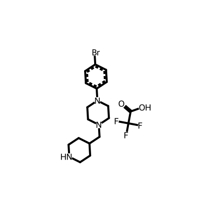 Brc1ccc(N2CCN(CC3CCNCC3)CC2)cc1.O=C(O)C(F)(F)F